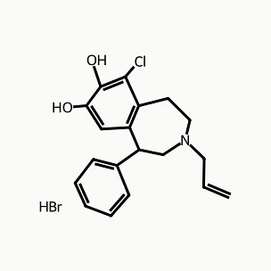 Br.C=CCN1CCc2c(cc(O)c(O)c2Cl)C(c2ccccc2)C1